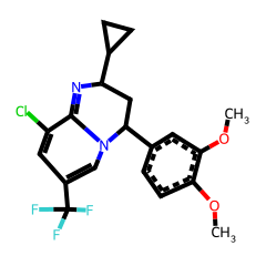 COc1ccc(C2CC(C3CC3)N=C3C(Cl)=CC(C(F)(F)F)=CN32)cc1OC